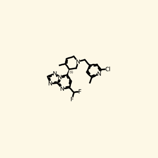 CC1=CCN(Cc2cc(C)nc(Cl)c2)C[C@H]1c1cc(C(F)F)nc2ncnn12